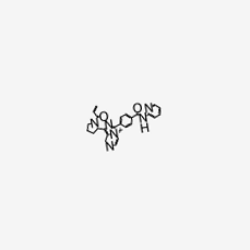 C=CC(=O)N1CCCC1C1=C2C=NC=C[N+]2(C)C(c2ccc(C(=O)Nc3ccccn3)cc2)=N1